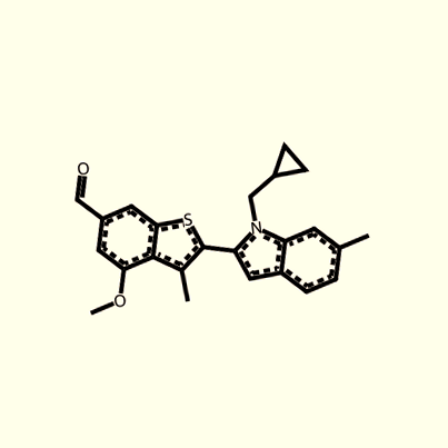 COc1cc(C=O)cc2sc(-c3cc4ccc(C)cc4n3CC3CC3)c(C)c12